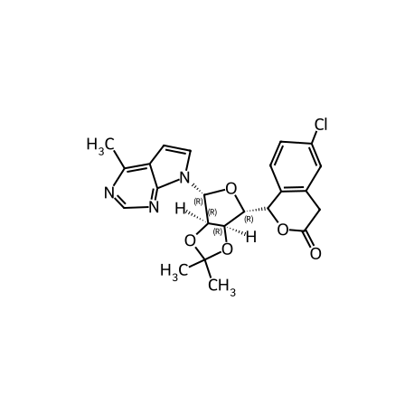 Cc1ncnc2c1ccn2[C@@H]1O[C@H](C2OC(=O)Cc3cc(Cl)ccc32)[C@H]2OC(C)(C)O[C@H]21